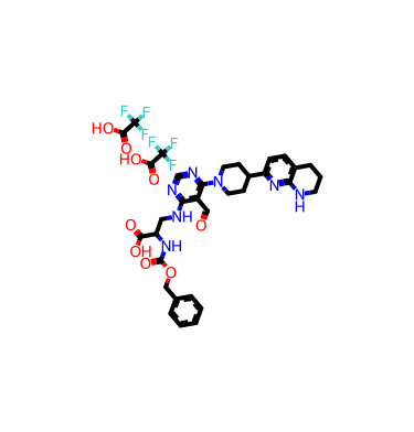 O=C(O)C(F)(F)F.O=C(O)C(F)(F)F.O=Cc1c(NCC(NC(=O)OCc2ccccc2)C(=O)O)ncnc1N1CCC(c2ccc3c(n2)NCCC3)CC1